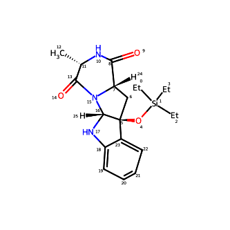 CC[Si](CC)(CC)O[C@]12C[C@H]3C(=O)N[C@@H](C)C(=O)N3[C@H]1Nc1ccccc12